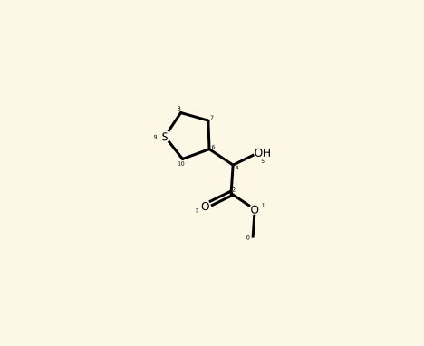 COC(=O)C(O)C1CCSC1